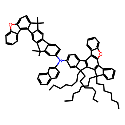 CCCCCCCC1(CCCCCCC)c2ccccc2-c2c1c1c(c3c2oc2ccccc23)-c2ccc(N(c3ccc4c(c3)C(C)(C)c3cc5c(cc3-4)C(C)(C)c3ccc4oc6ccccc6c4c3-5)c3ccc4ccccc4c3)cc2C1(CCCCCCC)CCCCCCC